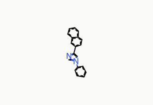 c1ccc(-n2cnc(-c3ccc4ccccc4c3)c2)cc1